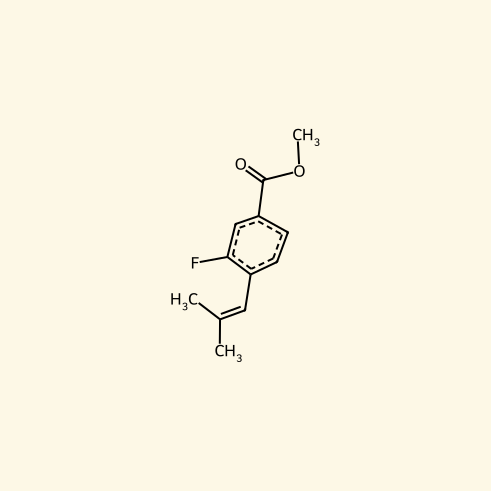 COC(=O)c1ccc(C=C(C)C)c(F)c1